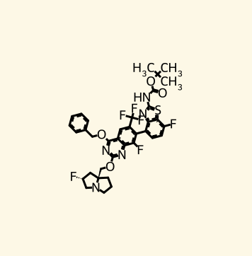 CC(C)(C)OC(=O)Nc1nc2c(-c3c(C(F)(F)F)cc4c(OCc5ccccc5)nc(OC[C@@]56CCCN5C[C@H](F)C6)nc4c3F)ccc(F)c2s1